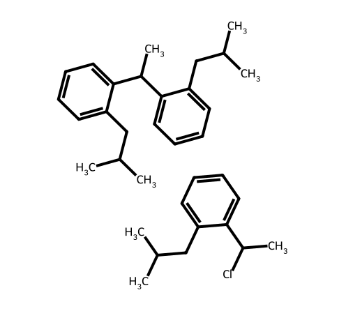 CC(C)Cc1ccccc1C(C)Cl.CC(C)Cc1ccccc1C(C)c1ccccc1CC(C)C